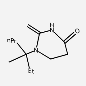 C=C1NC(=O)CCN1C(C)(CC)CCC